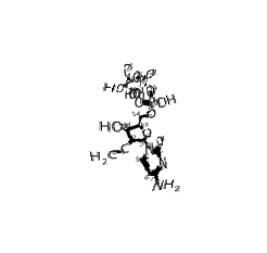 C=C=C1[C@H](n2ccc(N)nc2=O)O[C@H](COP(=O)(O)OP(=O)(O)OP(=O)(O)O)[C@H]1O